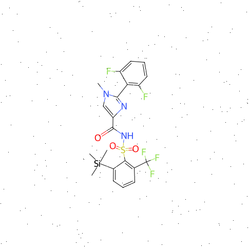 Cn1cc(C(=O)NS(=O)(=O)c2c(C(F)(F)F)cccc2[Si](C)(C)C)nc1-c1c(F)cccc1F